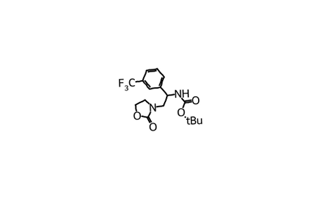 CC(C)(C)OC(=O)NC(CN1CCOC1=O)c1cccc(C(F)(F)F)c1